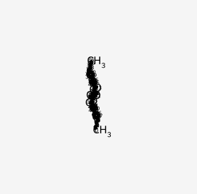 CCCCCN1CCN(c2ccc(C(=O)OC3COC4C(OC(=O)c5ccc(N6CCN(CCCCC)CC6)cc5)COC34)cc2)CC1